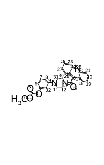 COC(=O)Oc1cccc(N2CCN(C(=O)c3c4ccccc4nc4ccccc34)CC2)c1